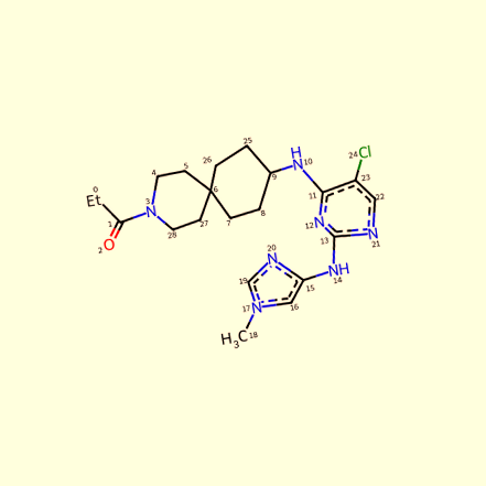 CCC(=O)N1CCC2(CCC(Nc3nc(Nc4cn(C)cn4)ncc3Cl)CC2)CC1